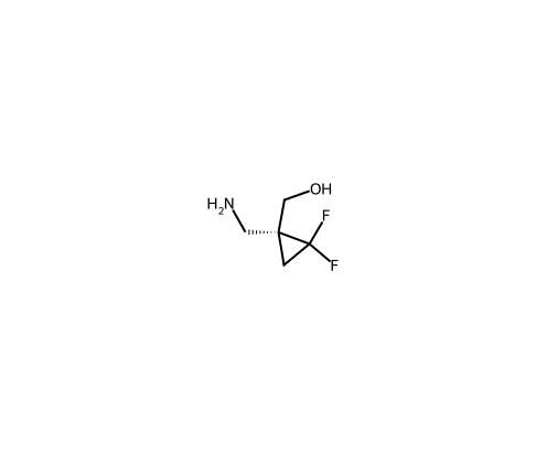 NC[C@@]1(CO)CC1(F)F